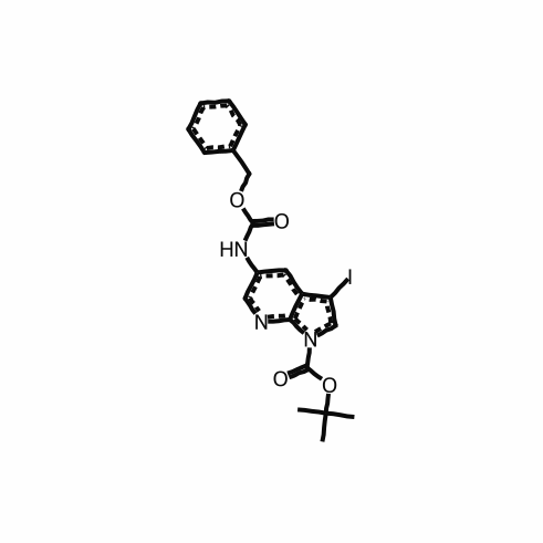 CC(C)(C)OC(=O)n1cc(I)c2cc(NC(=O)OCc3ccccc3)cnc21